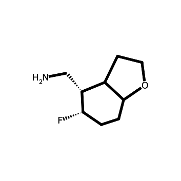 NC[C@@H]1C2CCOC2CC[C@@H]1F